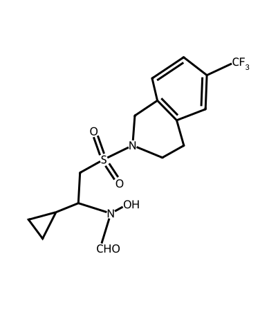 O=CN(O)C(CS(=O)(=O)N1CCc2cc(C(F)(F)F)ccc2C1)C1CC1